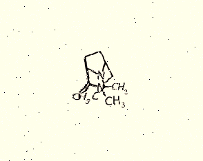 CC(C)N1C2CCC1C(=O)N(C)C2